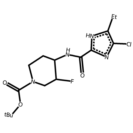 CCc1[nH]c(C(=O)NC2CCN(C(=O)OC(C)(C)C)CC2F)nc1Cl